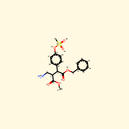 CC(C)OC(=O)C(CN)C(C(=O)OCc1ccccc1)c1ccc(OS(C)(=O)=O)cc1